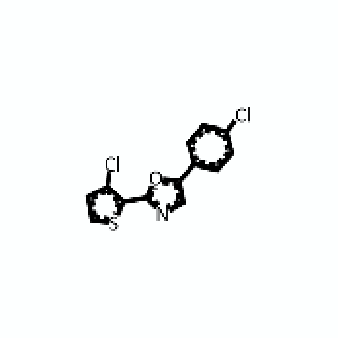 Clc1ccc(-c2cnc(-c3sccc3Cl)o2)cc1